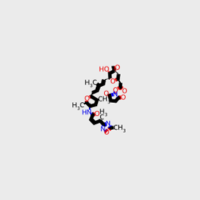 CC(/C=C/[C@H]1O[C@H](CC(=O)ON2C(=O)CCC2=O)C[C@@]2(CO2)[C@@H]1O)=C\C[C@@H]1O[C@H](C)[C@H](NC(=O)/C=C\C(C)c2noc(C)n2)C[C@@H]1C